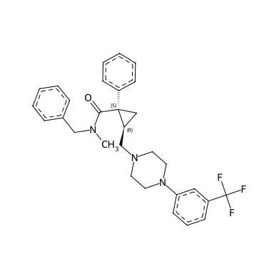 CN(Cc1ccccc1)C(=O)[C@@]1(c2ccccc2)C[C@H]1CN1CCN(c2cccc(C(F)(F)F)c2)CC1